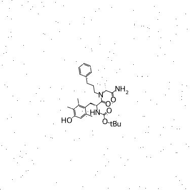 Cc1cc(O)c(C)c(C)c1C[C@H](NC(=O)OC(C)(C)C)C(=O)N(CCCc1ccccc1)[C@H](C)C(N)=O